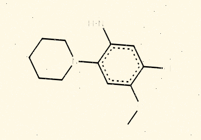 COc1cc(N2CCCCC2)c(N)cc1Cl